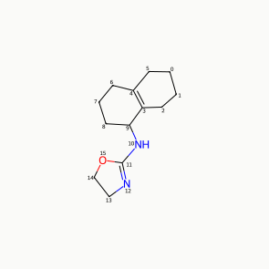 C1CCC2=C(C1)CCCC2NC1=NCCO1